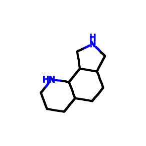 C1CNC2C(C1)CCC1CNCC12